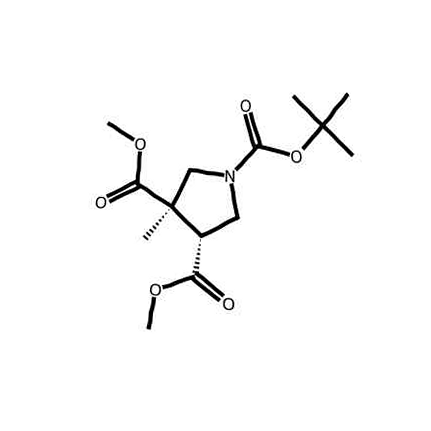 COC(=O)[C@H]1CN(C(=O)OC(C)(C)C)C[C@]1(C)C(=O)OC